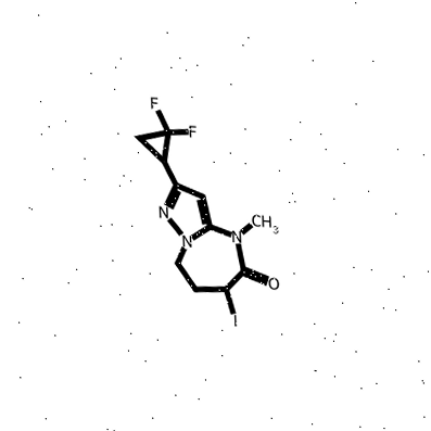 CN1C(=O)C(I)CCn2nc(C3CC3(F)F)cc21